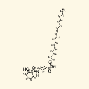 CCC=CCC=CCC=CCC=CCC=CCCCCOC(CC)C(=O)NCCNC(=O)c1ccccc1O